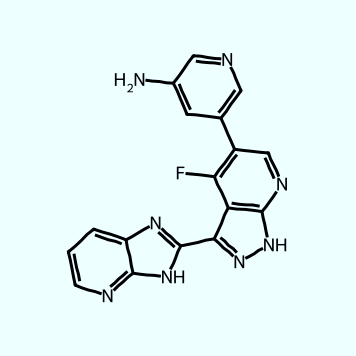 Nc1cncc(-c2cnc3[nH]nc(-c4nc5cccnc5[nH]4)c3c2F)c1